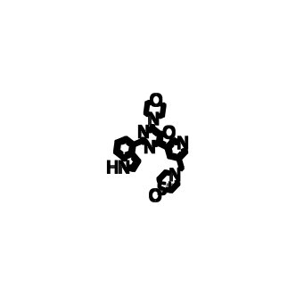 [O-][S+]1CCN(Cc2cnc3oc4c(N5CCOCC5)nc(-c5cccc6[nH]ccc56)nc4c3c2)CC1